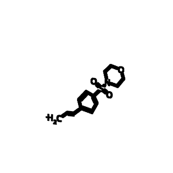 [CH2]/C=C/c1ccc(S(=O)(=O)N2CCOCC2)cc1